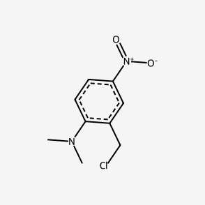 CN(C)c1ccc([N+](=O)[O-])cc1CCl